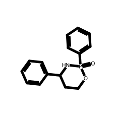 O=P1(c2ccccc2)NC(c2ccccc2)CCO1